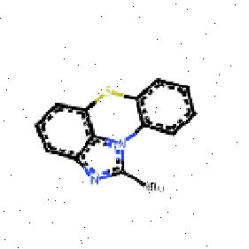 CC(C)(C)c1nc2cccc3c2n1-c1ccccc1S3